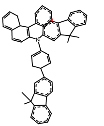 CC1(C)c2ccccc2-c2ccc(C3C=CC(N(C4=C(c5ccccc5)C5CC=CC=C5C=C4)c4ccc5c(c4)C(C)(C)c4ccccc4-5)=CC3)cc21